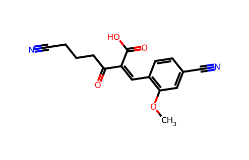 COc1cc(C#N)ccc1C=C(C(=O)O)C(=O)CCCC#N